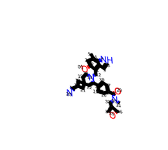 COc1cc(C)c2[nH]ccc2c1CN1CCC2(CC(C#N)C2)CC1c1ccc(C(=O)N(C)CC2COC2)cc1